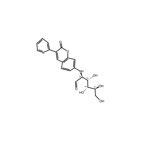 O=C[C@@H](Nc1ccc2cc(-c3ccccn3)c(=O)oc2c1)[C@H](O)[C@@H](O)[C@@H](O)CO